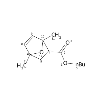 CCCCOC(=O)[C@@H]1CC2(C)C=CC1(C)O2